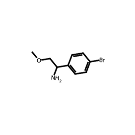 COCC(N)c1ccc(Br)cc1